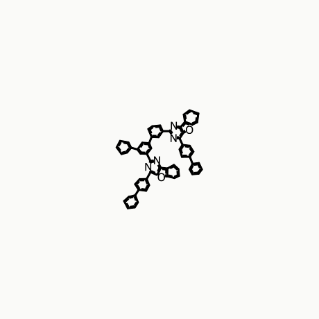 c1ccc(-c2ccc(-c3nc(-c4cccc(-c5cc(-c6ccccc6)cc(-c6nc(-c7ccc(-c8ccccc8)cc7)c7oc8ccccc8c7n6)c5)c4)nc4c3oc3ccccc34)cc2)cc1